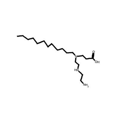 CCCCCCCCCCCCN(CCNCCN)CCC(=O)O